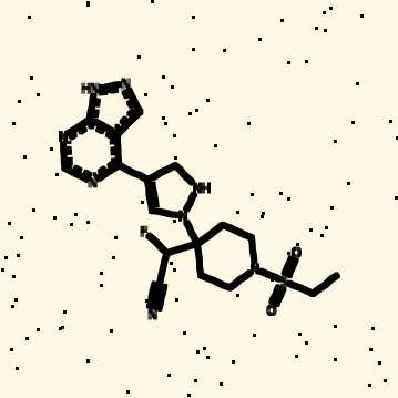 CCS(=O)(=O)N1CCC(C(F)C#N)(N2C=C(c3ncnc4[nH]ncc34)CN2)CC1